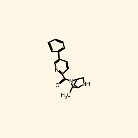 CC1C2CC(CN2)N1C(=O)c1ccc(-c2ccccc2)cn1